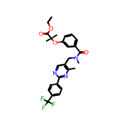 CCOC(=O)C(C)(C)Oc1cccc(C(=O)N(C)Cc2cnc(-c3ccc(C(F)(F)F)cc3)nc2C)c1